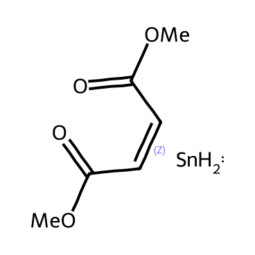 COC(=O)/C=C\C(=O)OC.[SnH2]